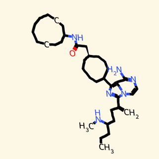 C=C(CCC(CCC)NC)c1nc(C2CCCC[C@@H](CC(=O)NC3CCCCCCCCCC3)CCC2)c2c(N)nccn12